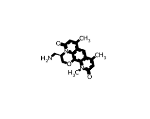 Cc1cc(=O)n(C)c2c3c4c(cc12)c(C)cc(=O)n4[C@H](CN)CO3